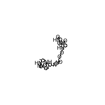 Cc1ccc(NC(=O)c2ccc(CN3CCN(C(=O)CCOCCOCCNc4cccc5c4C(=O)N(C4CCC(=O)NC4=O)C5=O)CC3)cc2)cc1Nc1nccc(-c2cccnc2)n1